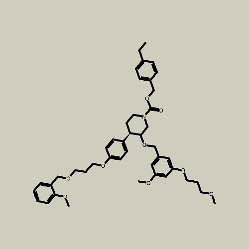 CCc1ccc(COC(=O)N2CC[C@H](c3ccc(OCCCOCc4ccccc4OC)cc3)C(OCc3cc(OC)cc(OCCCOC)c3)C2)cc1